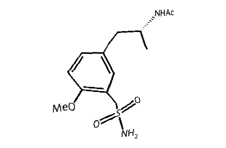 COc1ccc(C[C@@H](C)NC(C)=O)cc1S(N)(=O)=O